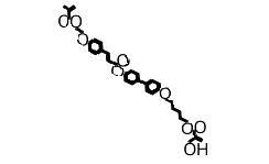 C=C(C)C(=O)OCCOc1ccc(/C=C/C(=O)Oc2ccc(-c3ccc(OCCCCCCOC(=O)C(=C)CO)cc3)cc2)cc1